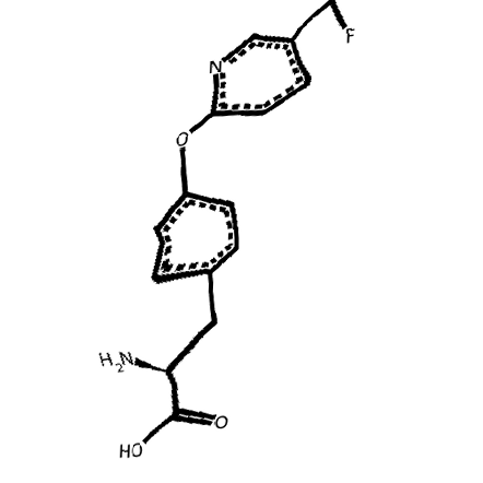 N[C@@H](Cc1ccc(Oc2ccc(C(F)(F)F)cn2)cc1)C(=O)O